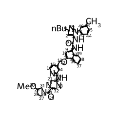 CCCCc1cc(NC(=O)Nc2ccc(OCc3ccnc(Nc4cnc(C(=O)N5CCC(OC)C5)cn4)c3)c3ccccc23)n(-c2cccc(C)c2)n1